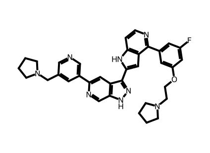 Fc1cc(OCCN2CCCC2)cc(-c2nccc3[nH]c(-c4n[nH]c5cnc(-c6cncc(CN7CCCC7)c6)cc45)cc23)c1